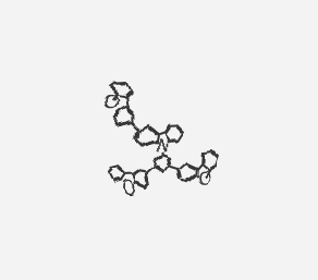 c1ccc2c(c1)oc1ccc(-c3cc(-c4ccc5oc6ccccc6c5c4)cc(-n4c5ccccc5c5cc(-c6ccc7oc8ccccc8c7c6)ccc54)c3)cc12